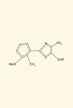 COc1cccc(-c2nc(C)c(C=O)s2)c1C